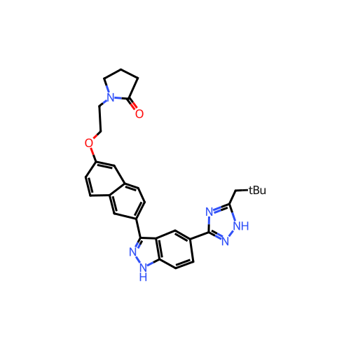 CC(C)(C)Cc1nc(-c2ccc3[nH]nc(-c4ccc5cc(OCCN6CCCC6=O)ccc5c4)c3c2)n[nH]1